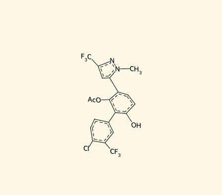 CC(=O)Oc1c(-c2cc(C(F)(F)F)nn2C)ccc(O)c1-c1ccc(Cl)c(C(F)(F)F)c1